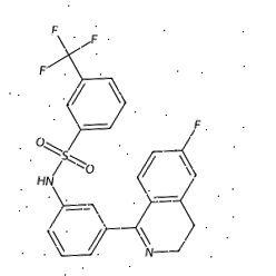 O=S(=O)(Nc1cccc(C2=NCCc3cc(F)ccc32)c1)c1cccc(C(F)(F)F)c1